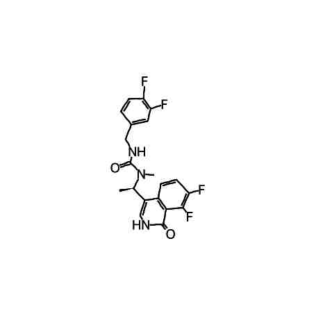 C[C@H](c1c[nH]c(=O)c2c(F)c(F)ccc12)N(C)C(=O)NCc1ccc(F)c(F)c1